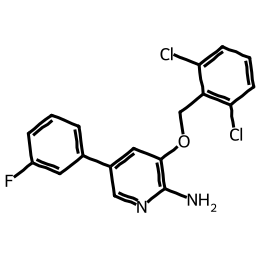 Nc1ncc(-c2cccc(F)c2)cc1OCc1c(Cl)cccc1Cl